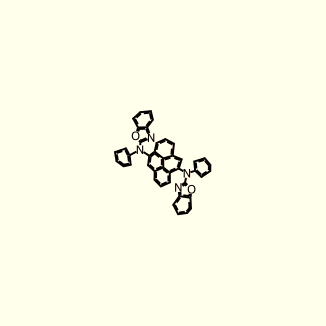 c1ccc(N(c2nc3ccccc3o2)c2cc3cccc4c(N(c5ccccc5)c5nc6ccccc6o5)cc5cccc2c5c34)cc1